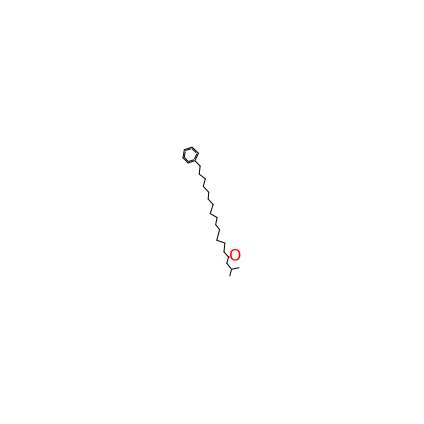 CC(C)CC(=O)CCCCCCCCCCCCCCc1ccccc1